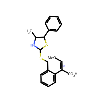 CO/C=C(/C(=O)O)c1ccccc1CSC1NC(C)C(c2ccccc2)S1